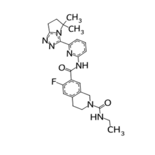 CCNC(=O)N1CCc2cc(F)c(C(=O)Nc3cccc(-c4nnc5n4C(C)(C)CC5)n3)cc2C1